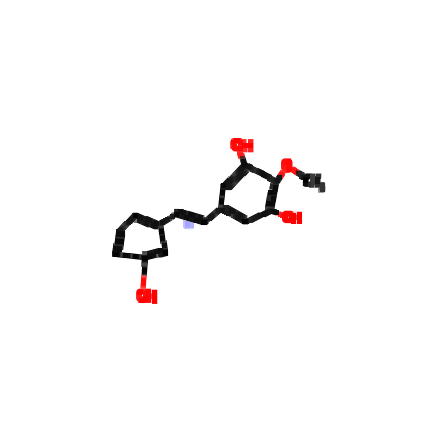 COc1c(O)cc(/C=C/c2cccc(O)c2)cc1O